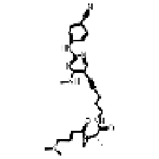 CNc1nc(Nc2ccc(C#N)cc2)ncc1C#CCCCNC(=O)[C@H](C)N(C)C(=O)/C=C/CN(C)C